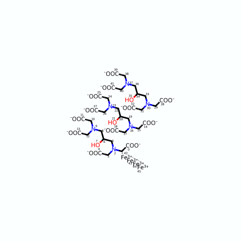 O=C([O-])CN(CC(=O)[O-])CC(O)CN(CC(=O)[O-])CC(=O)[O-].O=C([O-])CN(CC(=O)[O-])CC(O)CN(CC(=O)[O-])CC(=O)[O-].O=C([O-])CN(CC(=O)[O-])CC(O)CN(CC(=O)[O-])CC(=O)[O-].[Fe+3].[Fe+3].[Fe+3].[Fe+3]